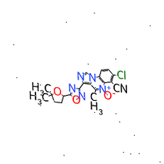 Cc1c2c(-c3noc(C4CCC(C)(C)O4)n3)ncn2c2ccc(Cl)c(C#N)c2[n+]1[O-]